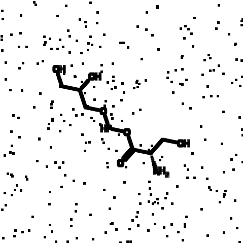 N[C@@H](CO)C(=O)OPOCC(O)CO